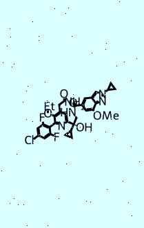 CCOc1c(CC(N)=O)cc([C@@](O)(CNC(=O)c2cc(OC)c3nn(C4CC4)cc3c2)C2CC2)nc1-c1c(F)cc(Cl)cc1F